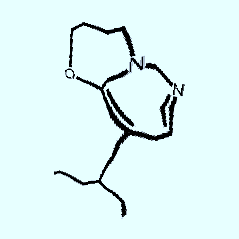 CC(C)c1cnn2c1OCC2